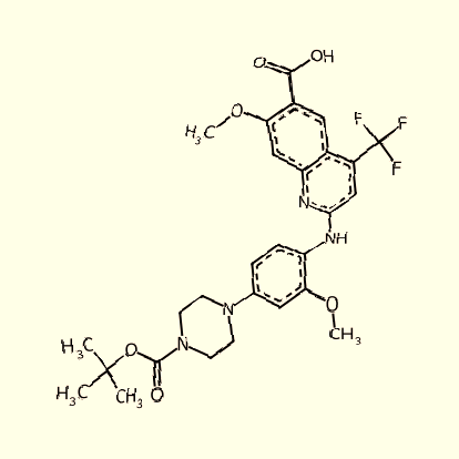 COc1cc(N2CCN(C(=O)OC(C)(C)C)CC2)ccc1Nc1cc(C(F)(F)F)c2cc(C(=O)O)c(OC)cc2n1